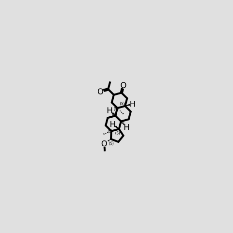 CO[C@H]1CC[C@H]2[C@@H]3CC[C@H]4CC(=O)C(C(C)=O)C[C@]4(C)[C@H]3CC[C@]12C